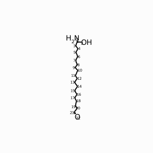 NC(O)CCCCCCCCCCCCCCCCCCC=O